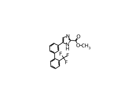 COC(=O)c1ncc(-c2cccc(-c3ccccc3C(F)(F)F)c2)[nH]1